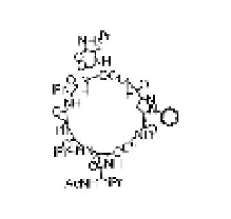 CC(=O)N[C@H](C(=O)N[C@H]1CCCNC(=O)C2(C)CC(=NN2c2ccccc2)C(=O)NCCC[C@@H](C(=O)N[C@@H](CC(C)C)C(N)=O)NC(=O)[C@H](C(C)C)NC(=O)C(C)(C)NC(=O)[C@H](CC(C)C)NC1=O)C(C)C